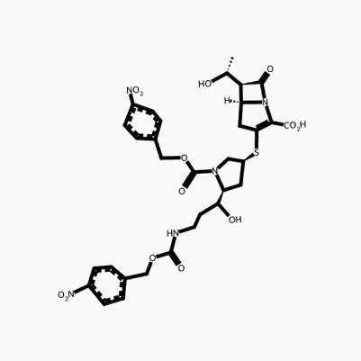 C[C@@H](O)[C@H]1C(=O)N2C(C(=O)O)=C(S[C@H]3C[C@@H](C(O)CCNC(=O)OCc4ccc([N+](=O)[O-])cc4)N(C(=O)OCc4ccc([N+](=O)[O-])cc4)C3)C[C@@H]12